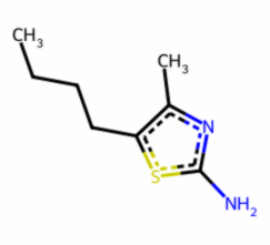 CCCCc1sc(N)nc1C